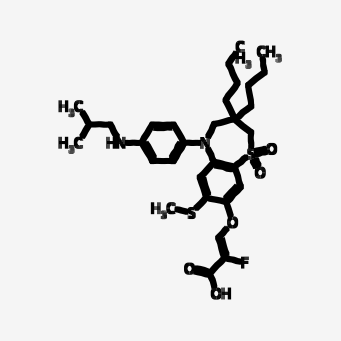 CCCCC1(CCCC)CN(c2ccc(NCC(C)C)cc2)c2cc(SC)c(OC=C(F)C(=O)O)cc2S(=O)(=O)C1